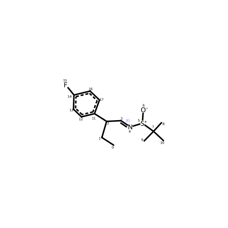 CCC(/C=N/[S+]([O-])C(C)(C)C)c1ccc(F)cc1